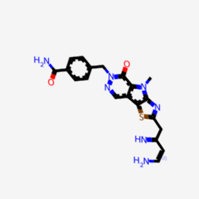 Cn1c2nc(CC(=N)/C=C\N)sc2c2cnn(Cc3ccc(C(N)=O)cc3)c(=O)c21